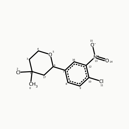 CC1(Cl)CCOC(c2ccc(Cl)c([N+](=O)[O-])c2)C1